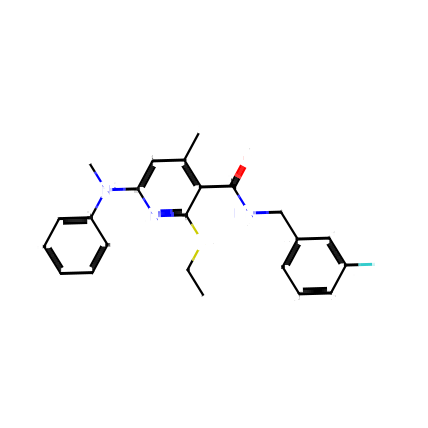 CCSc1nc(N(C)c2ccccc2)cc(C)c1C(=O)NCc1cccc(F)c1